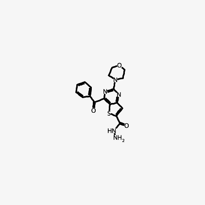 NNC(=O)c1cc2nc(N3CCOCC3)nc(C(=O)c3ccccc3)c2s1